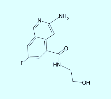 Nc1cc2c(C(=O)NCCO)cc(F)cc2cn1